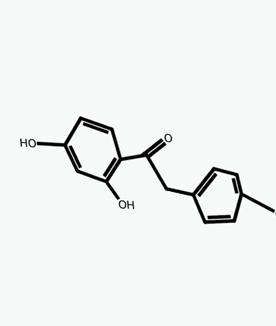 O=C(Cc1ccc(Cl)cc1)c1ccc(O)cc1O